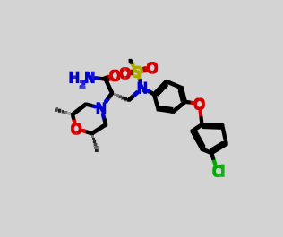 C[C@@H]1CN([C@@H](CN(c2ccc(Oc3ccc(Cl)cc3)cc2)S(C)(=O)=O)C(N)=O)C[C@H](C)O1